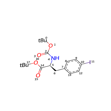 CC(C)(C)OC(=O)N[C@@H](Cc1ccc(I)cc1)C(=O)OC(C)(C)C